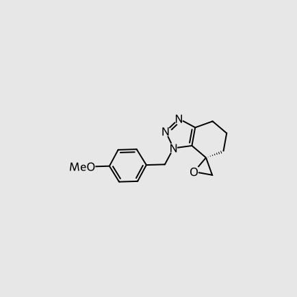 COc1ccc(Cn2nnc3c2[C@@]2(CCC3)CO2)cc1